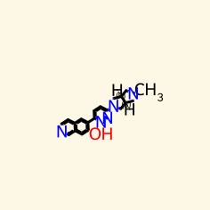 CN1C[C@@H]2CN(c3ccc(-c4cc5ccncc5cc4O)nn3)C[C@@H]2C1